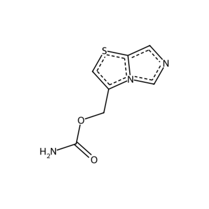 NC(=O)OCc1csc2cncn12